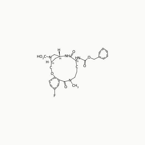 CN1CCC[C@H](NC(=O)OCc2ccccc2)C(=O)N[C@@H]2C[C@@H](COc3ccc(F)cc3C1=O)N(C(=O)O)C2